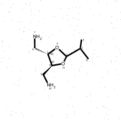 CC(C)C1O[C@@H](CN)[C@H](CN)O1